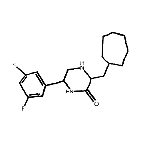 O=C1NC(c2cc(F)cc(F)c2)CNC1CC1CCCCCC1